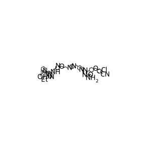 CCc1cnn2c(NCc3ccc(OCCCN4CCN(CC5CCN(c6cnc(C(N)=O)c(C7CCC(Oc8ccc(C#N)c(Cl)c8)CC7)n6)CC5)CC4)nc3)cc(N3CCCC[C@@H]3CCO)nc12